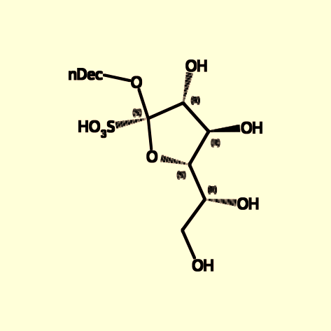 CCCCCCCCCCO[C@]1(S(=O)(=O)O)O[C@@H]([C@H](O)CO)[C@H](O)[C@H]1O